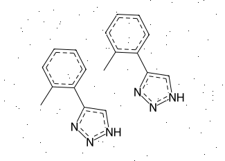 Cc1ccccc1-c1c[nH]nn1.Cc1ccccc1-c1c[nH]nn1